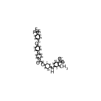 Cc1cc(NC2CCC(OCC(=O)N3CCN(c4ccc(OCc5ccc(C(F)(F)F)cc5)cc4)CC3)CC2)ccc1[N+](=O)[O-]